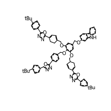 CC(C)(C)c1ccc(-c2nnc(C3=CCC(COc4cc(COc5ccc6c(c5)[nH]c5ccccc56)cc(OCC5=CC=C(c6nnc(-c7ccc(C(C)(C)C)cc7)o6)CC5)c4OCc4ccc(-c5nnc(-c6ccc(C(C)(C)C)cc6)o5)cc4)C=C3)o2)cc1